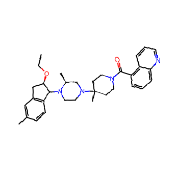 CCO[C@@H]1Cc2cc(C)ccc2C1N1CCN(C2(C)CCN(C(=O)c3cccc4ncccc34)CC2)C[C@@H]1C